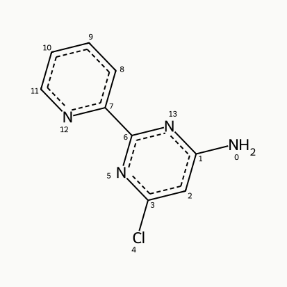 Nc1cc(Cl)nc(-c2ccccn2)n1